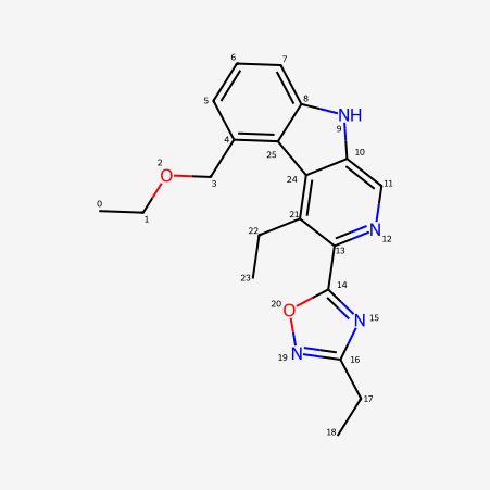 CCOCc1cccc2[nH]c3cnc(-c4nc(CC)no4)c(CC)c3c12